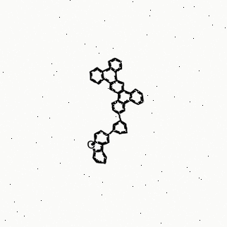 c1cc(-c2ccc3oc4ccccc4c3c2)cc(-c2ccc3c(c2)c2ccccc2c2cc4c5ccccc5c5ccccc5c4cc32)c1